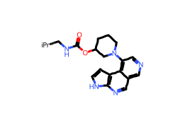 CC(C)CNC(=O)OC1CCCN(c2cncc3cnc4[nH]ccc4c23)C1